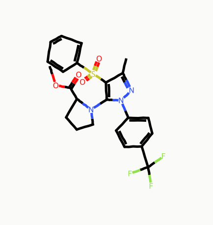 COC(=O)C1CCCN1c1c(S(=O)(=O)c2ccccc2)c(C)nn1-c1ccc(C(F)(F)F)cc1